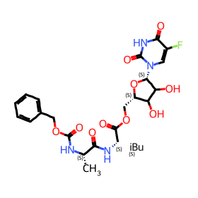 CC[C@H](C)[C@H](NC(=O)[C@H](C)NC(=O)OCc1ccccc1)C(=O)OC[C@@H]1O[C@H](n2cc(F)c(=O)[nH]c2=O)C(O)C1O